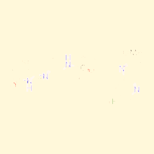 COc1ccc2ncc(F)c(CCC34CCC(NCc5ccc6c(n5)NC(=O)CS6)(CC3)CO4)c2n1